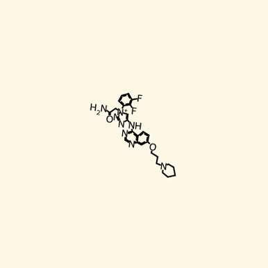 NC(=O)C[N+]1(c2cccc(F)c2F)C=C(Nc2ncnc3cc(OCCCN4CCCCC4)ccc23)N=N1